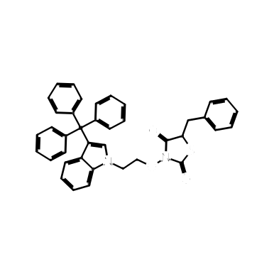 O=C1SC(Cc2ccccc2)C(=O)N1OCCn1cc(C(c2ccccc2)(c2ccccc2)c2ccccc2)c2ccccc21